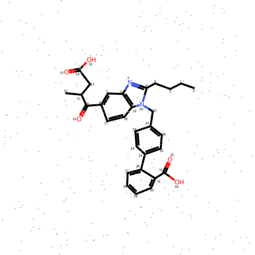 CCCCc1nc2cc(C(=O)C(C)CC(=O)O)ccc2n1Cc1ccc(-c2ccccc2C(=O)O)cc1